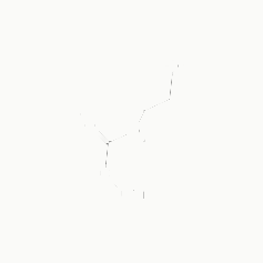 CC(C)(C)OC(=O)OCC[O]